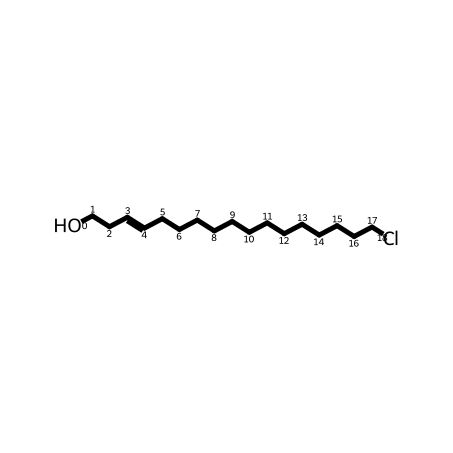 OCC/C=C/CCCCCCCCCCCCCCl